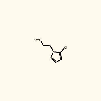 O=CCCn1nccc1Cl